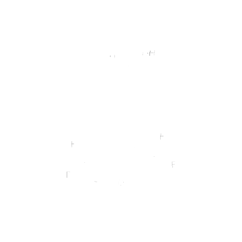 COc1c(C(F)(F)F)cc(C=CC(=O)O)cc1C(F)(F)F